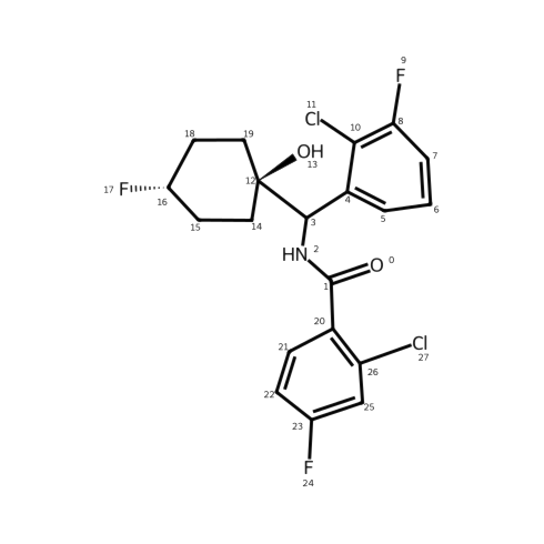 O=C(NC(c1cccc(F)c1Cl)[C@]1(O)CC[C@H](F)CC1)c1ccc(F)cc1Cl